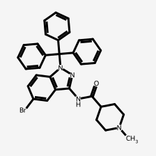 CN1CCC(C(=O)Nc2nn(C(c3ccccc3)(c3ccccc3)c3ccccc3)c3ccc(Br)cc23)CC1